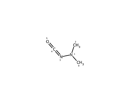 CN(C)N=C=O